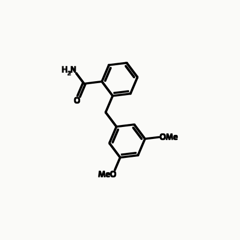 COc1cc(Cc2ccccc2C(N)=O)cc(OC)c1